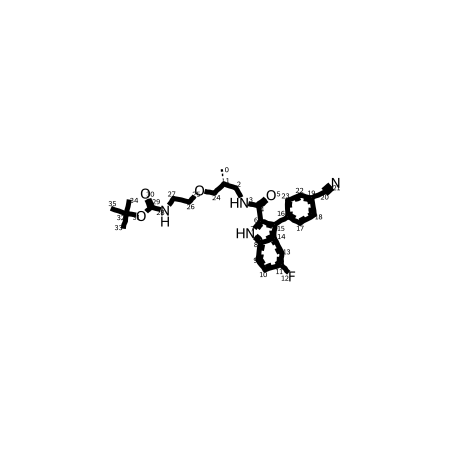 C[C@H](CNC(=O)c1[nH]c2ccc(F)cc2c1-c1ccc(C#N)cc1)COCCNC(=O)OC(C)(C)C